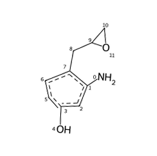 Nc1cc(O)ccc1CC1CO1